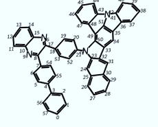 c1ccc(-c2ccc(-c3nc4ccccc4nc3-c3ccc(-n4c5cc6ccccc6cc5c5cc6c7ccccc7n7c8ccccc8c(c54)c67)cc3)cc2)cc1